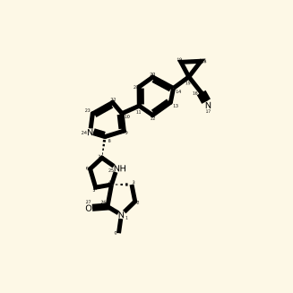 CN1CC[C@@]2(CC[C@H](c3cc(-c4ccc(C5(C#N)CC5)cc4)ccn3)N2)C1=O